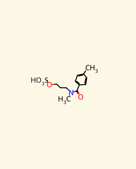 Cc1ccc(C(=O)N(C)CCCOS(=O)(=O)O)cc1